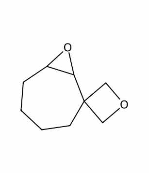 C1CCC2(COC2)C2OC2C1